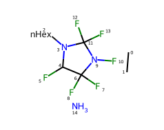 CC.CCCCCCN1C(F)C(F)(F)N(F)C1(F)F.N